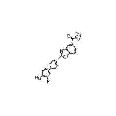 O=C(NO)c1ccc2oc(-c3ccc(-c4ccc(O)c(F)c4)cc3)nc2c1